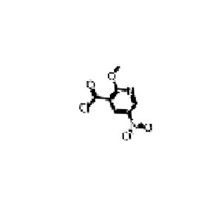 COc1ncc([N+](=O)[O-])cc1C(=O)Cl